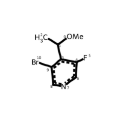 COC(C)c1c(F)cncc1Br